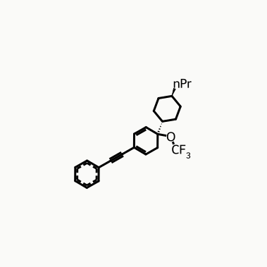 CCC[C@H]1CC[C@H](C2(OC(F)(F)F)C=CC(C#Cc3ccccc3)=CC2)CC1